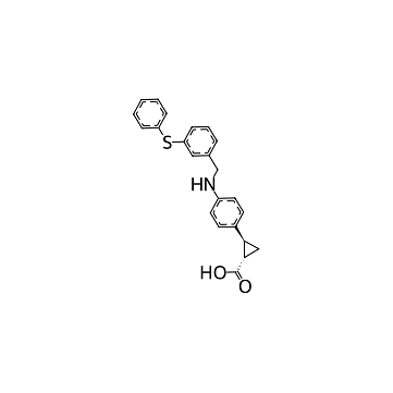 O=C(O)[C@H]1C[C@@H]1c1ccc(NCc2cccc(Sc3ccccc3)c2)cc1